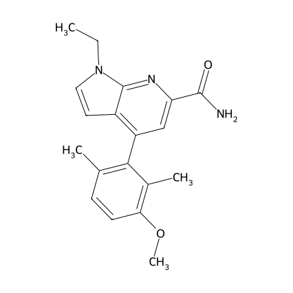 CCn1ccc2c(-c3c(C)ccc(OC)c3C)cc(C(N)=O)nc21